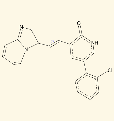 O=c1[nH]cc(-c2ccccc2Cl)cc1/C=C/C1CN=C2C=CC=CN21